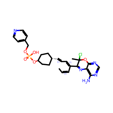 C\C=C/C(=C\C=C\[C@H]1CC[C@H](OP(=O)(O)OCc2ccncc2)CC1)C1=Nc2c(N)ncnc2OC1(C)Cl